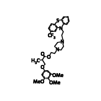 COc1cc(OCC(C)C(=O)OCCN2CCN(CCCN3c4ccccc4Sc4ccc(C(F)(F)F)cc43)CC2)cc(OC)c1OC